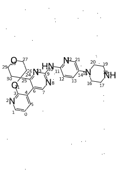 c1cnc2c(c1)-c1cnc(Nc3ccc(N4CCNCC4)cn3)nc1C1(CCOCC1)O2